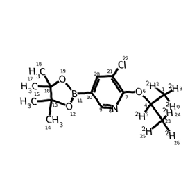 [2H]C([2H])([2H])C([2H])(Oc1ncc(B2OC(C)(C)C(C)(C)O2)cc1Cl)C([2H])([2H])[2H]